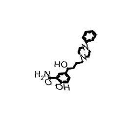 NC(=O)c1cc(C(O)CCCN2CCN(c3ccccc3)CC2)ccc1O